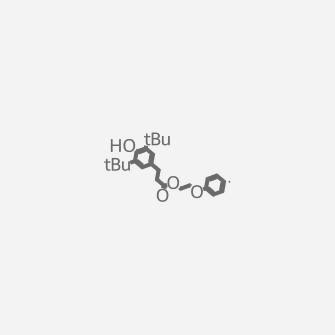 CC(C)(C)c1cc(CCC(=O)OCCOc2cc[c]cc2)cc(C(C)(C)C)c1O